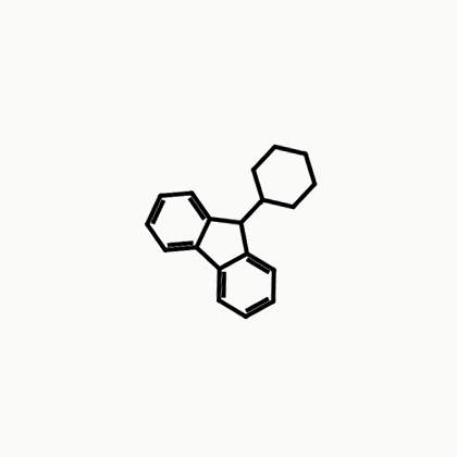 c1ccc2c(c1)-c1ccccc1C2[C]1CCCCC1